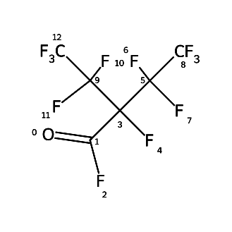 O=C(F)C(F)(C(F)(F)C(F)(F)F)C(F)(F)C(F)(F)F